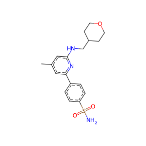 Cc1cc(NCC2CCOCC2)nc(-c2ccc(S(N)(=O)=O)cc2)c1